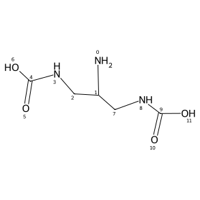 NC(CNC(=O)O)CNC(=O)O